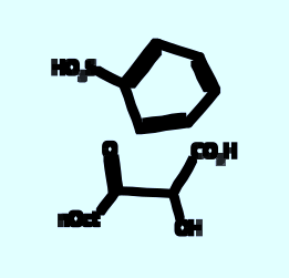 CCCCCCCCC(=O)C(O)C(=O)O.O=S(=O)(O)c1ccccc1